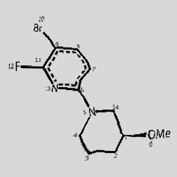 CO[C@H]1CCCN(c2ccc(Br)c(F)n2)C1